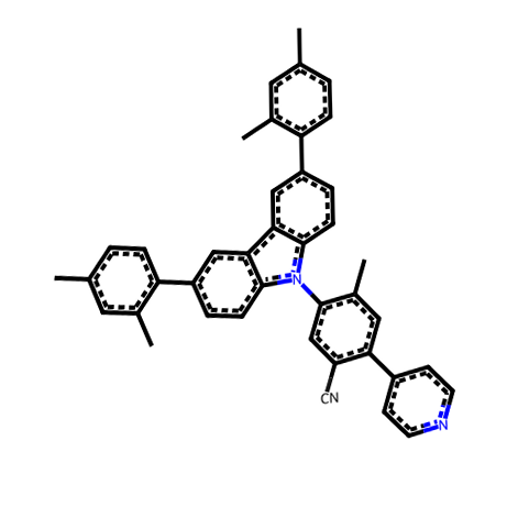 Cc1ccc(-c2ccc3c(c2)c2cc(-c4ccc(C)cc4C)ccc2n3-c2cc(C#N)c(-c3ccncc3)cc2C)c(C)c1